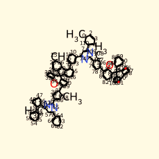 CC1C=CC=C(c2cc(-c3cccc(-c4cccc5c4C4=C(C=CC(C)C4)C54c5ccccc5Oc5c(C6C=CC(C7=NC(C)(c8ccccc8-c8ccccc8)CC(C8=CCCC=C8)=N7)=CC6C)cccc54)c3)nc(C3C=CC(c4cccc5c4Oc4ccccc4C54c5ccccc5-c5ccccc54)=CC3C)n2)C1